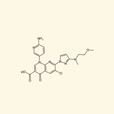 COCCN(C)c1ccn(-c2nc3c(cc2Cl)c(=O)c(C(=O)O)cn3-c2ccc(N)nc2)n1